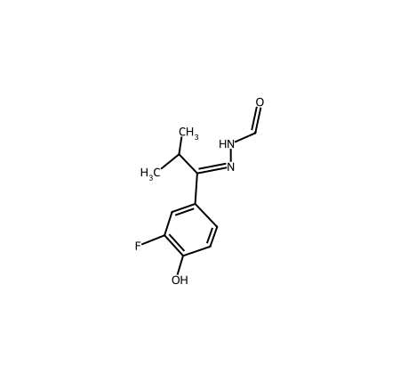 CC(C)/C(=N\NC=O)c1ccc(O)c(F)c1